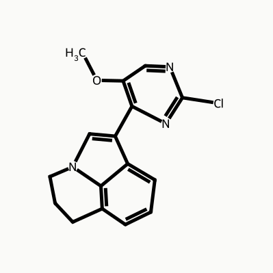 COc1cnc(Cl)nc1-c1cn2c3c(cccc13)CCC2